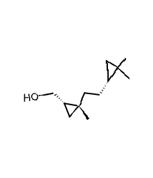 CC1(C)C[C@H]1CC[C@]1(C)C[C@@H]1CO